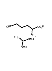 CC(CCCC=O)C(=O)O.COC(C)OC